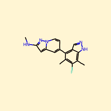 CNc1cc2cc(-c3c(C)c(F)c(C)c4[nH]ncc34)ccn2n1